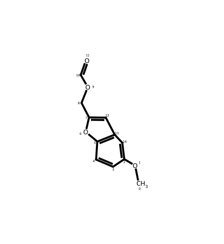 COc1ccc2oc(COC=O)cc2c1